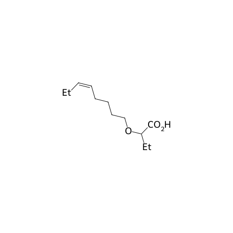 CC/C=C\CCCCOC(CC)C(=O)O